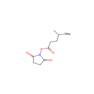 CSC(C)CCC(=O)ON1C(=O)CCC1=O